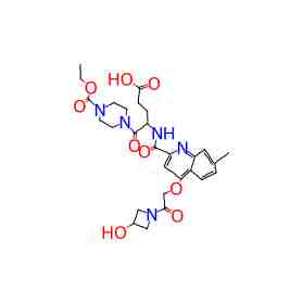 CCOC(=O)N1CCN(C(=O)C(CCC(=O)O)NC(=O)c2cc(OCC(=O)N3CC(O)C3)c3ccc(C)cc3n2)CC1